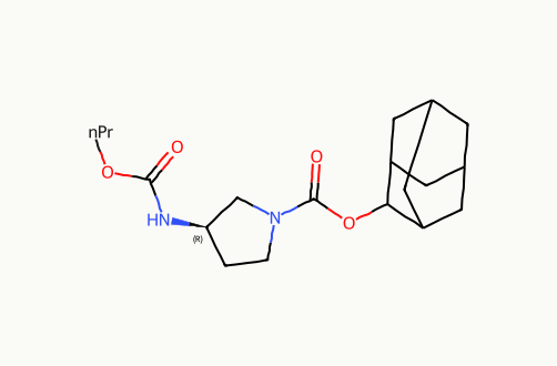 CCCOC(=O)N[C@@H]1CCN(C(=O)OC2C3CC4CC(C3)CC2C4)C1